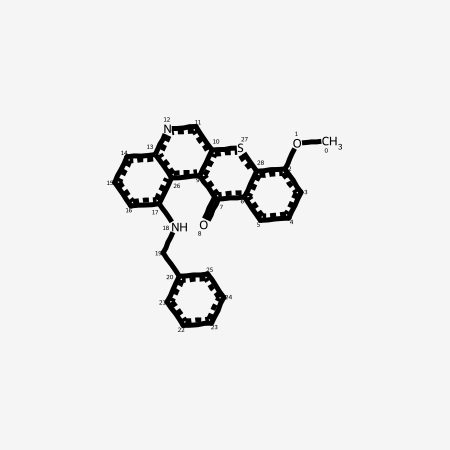 COc1cccc2c(=O)c3c(cnc4cccc(NCc5ccccc5)c43)sc12